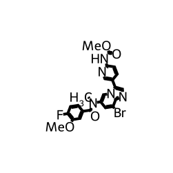 COC(=O)Nc1ccc(-c2cnc3c(Br)cc(N(C)C(=O)c4ccc(F)c(OC)c4)cn23)cn1